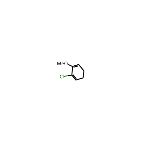 COC1=CC[CH]C=C1Cl